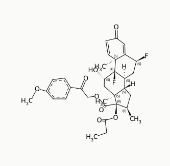 CCC(=O)O[C@]1(C(=O)OCC(=O)c2ccc(OC)cc2)[C@H](C)C[C@H]2[C@@H]3C[C@H](F)C4=CC(=O)C=C[C@]4(C)[C@@]3(F)[C@@H](O)C[C@@]21C